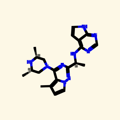 Cc1ccn2nc([C@H](C)Nc3ncnc4[nH]ccc34)nc(N3C[C@@H](C)N[C@@H](C)C3)c12